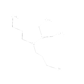 CCCCN(CCCC)N(CC)CC